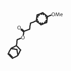 COc1ccc(CCC(=O)OCC2CC3C=CC2C3)cc1